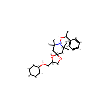 CC(ON1C(C)(C)CC2(CC1(C)C)OCC(COC1CCCCC1)O2)c1ccccc1